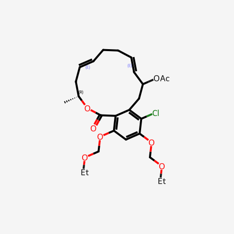 CCOCOc1cc(OCOCC)c2c(c1Cl)CC(OC(C)=O)/C=C/CC/C=C/C[C@@H](C)OC2=O